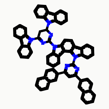 c1ccc2cc(-c3cc(-c4ccc5ccccc5c4)nc(-n4c5ccccc5c5ccc6c(c7ccccc7n6C6=NC(n7c8ccccc8c8ccccc87)CC(n7c8ccccc8c8ccccc87)=N6)c54)n3)ccc2c1